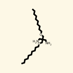 CCCCCCCCCCOCC(CN)(CN)COCCCCCCCCCC